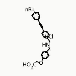 CCCCc1ccc(C#Cc2ccc(CNCc3ccc(OCC(=O)O)cc3)cc2)cc1.Cl